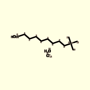 CCCCCCCCCCCCCCCC[N+](C)(C)C.O.[Cl-]